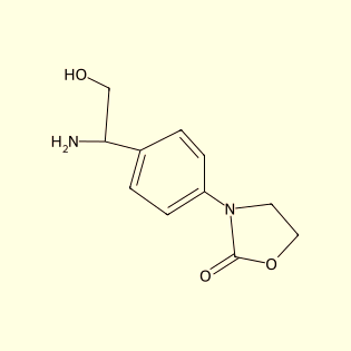 NC(CO)c1ccc(N2CCOC2=O)cc1